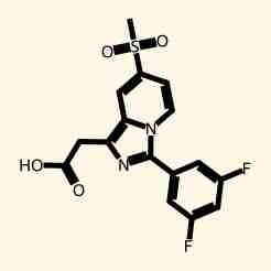 CS(=O)(=O)c1ccn2c(-c3cc(F)cc(F)c3)nc(CC(=O)O)c2c1